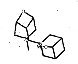 COC1C2CC1CN(CC1C3CN(C)CC1O3)C2